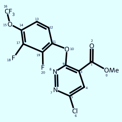 COC(=O)c1cc(Cl)nnc1Oc1ccc(OC(F)(F)F)c(F)c1F